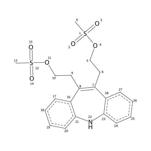 CS(=O)(=O)OCCC1=C(CCOS(C)(=O)=O)c2ccccc2Nc2ccccc21